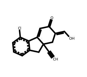 C#CC12CC(=CO)C(=O)C=C1c1c(Cl)cccc1C2